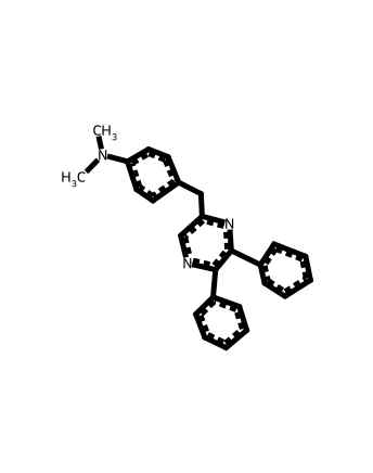 CN(C)c1ccc(Cc2cnc(-c3ccccc3)c(-c3ccccc3)n2)cc1